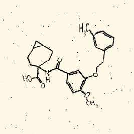 COc1ccc(C(=O)NC2(C(=O)O)CCC3CC3CC2)cc1OCCc1cccc(C)c1